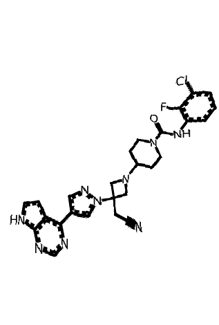 N#CCC1(n2cc(-c3ncnc4[nH]ccc34)cn2)CN(C2CCN(C(=O)Nc3cccc(Cl)c3F)CC2)C1